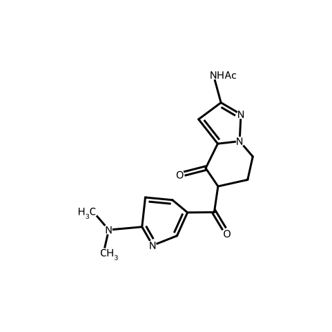 CC(=O)Nc1cc2n(n1)CCC(C(=O)c1ccc(N(C)C)nc1)C2=O